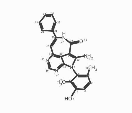 Cc1ccc(O)c(C)c1-n1c(N)c2c3c(ncnc31)C=C(c1ccccc1)NC2=O